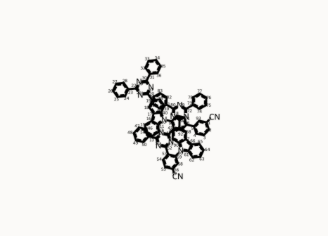 N#Cc1cccc(-c2ccc(-n3c4ccccc4c4cc(-c5nc(-c6ccccc6)nc(-c6ccccc6)n5)ccc43)c(-c3nc(-c4ccccc4)nc(-c4ccc(C#N)cc4-n4c5ccccc5c5cc(-c6nc(-c7ccccc7)nc(-c7ccccc7)n6)ccc54)n3)c2)c1